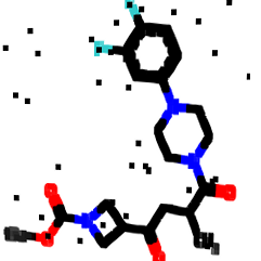 CC(CC(=O)C1CN(C(=O)OC(C)(C)C)C1)C(=O)N1CCN(c2ccc(F)c(F)c2)CC1